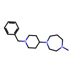 CN1CCCN(C2CCN(Cc3ccccc3)CC2)CC1